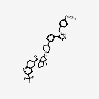 COc1ccc(Cn2nnnc2-c2cccc(C3CCN([C@H]4C[C@H]5CCC[C@@]5(C(=O)N5CCc6ncc(C(F)(F)F)cc6C5)C4)CC3)c2)cc1